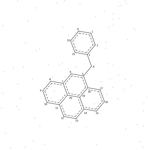 c1ccc(Cc2cc3cccc4ccc5cccc2c5c43)cc1